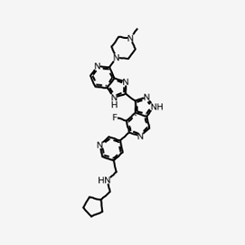 CN1CCN(c2nccc3[nH]c(-c4n[nH]c5cnc(-c6cncc(CNCC7CCCC7)c6)c(F)c45)nc23)CC1